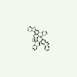 c1ccc(N(c2ccc3c(c2)sc2ccccc23)c2cccc3oc4c5ccccc5ccc4c23)c(-c2ccc3c(c2)sc2ccccc23)c1